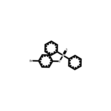 S=P(Sc1ccc(Br)cc1)(c1ccccc1)c1ccccc1